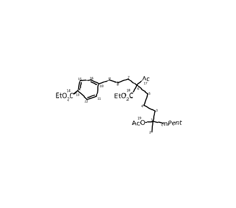 CCCCCC(C)(CCCC(CCCc1ccc(C(=O)OCC)cc1)(C(C)=O)C(=O)OCC)OC(C)=O